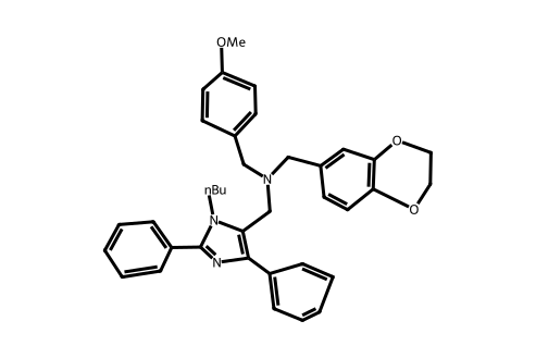 CCCCn1c(-c2ccccc2)nc(-c2ccccc2)c1CN(Cc1ccc(OC)cc1)Cc1ccc2c(c1)OCCO2